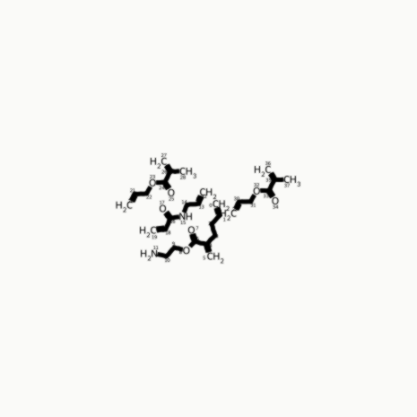 C=CCCC(=C)C(=O)OCCN.C=CCNC(=O)C=C.C=CCOC(=O)C(=C)C.C=CCOC(=O)C(=C)C